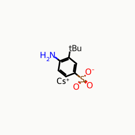 CC(C)(C)c1cc(S(=O)(=O)[O-])ccc1N.[Cs+]